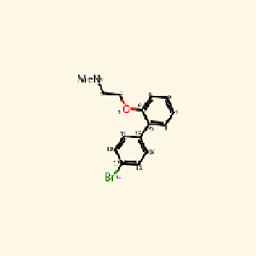 CNCCOc1ccccc1-c1ccc(Br)cc1